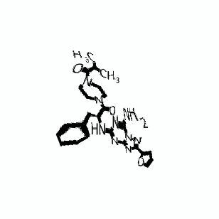 CC(C)C(=O)N1CCN(C(=O)[C@H](Cc2ccccc2)Nc2nc(N)n3nc(-c4ccco4)nc3n2)CC1